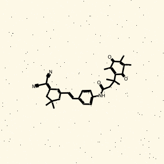 CC1=C(C)C(=O)C(C(C)(C)CC(=O)Nc2ccc(C=CC3=CC(=C(C#N)C#N)CC(C)(C)C3)cc2)=C(C)C1=O